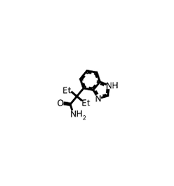 CCC(CC)(C(N)=O)c1cccc2[nH]cnc12